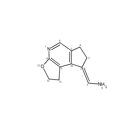 N/C=C1\CCc2cnc3c(c21)CCO3